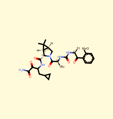 CC[C@H](NC(=O)N[C@H](C(=O)N1C[C@H]2[C@@H]([C@H]1C(=O)NC(CC1CC1)C(=O)C(N)=O)C2(C)C)C(C)(C)C)C(=O)c1ccccc1OC